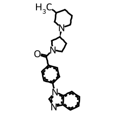 CC1CCCN([C@H]2CCN(C(=O)c3ccc(-n4cnc5ccccc54)cc3)C2)C1